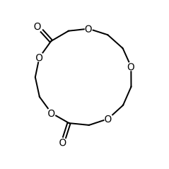 O=C1COCCOCCOCC(=O)OCCO1